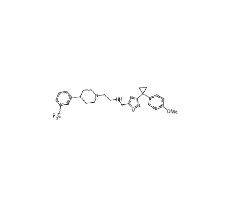 COc1ccc(C2(c3noc(CNCCN4CCC(c5cccc(C(F)(F)F)c5)CC4)n3)CC2)cc1